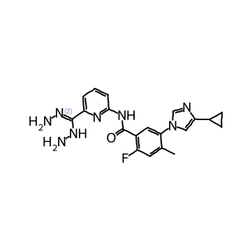 Cc1cc(F)c(C(=O)Nc2cccc(/C(=N/N)NN)n2)cc1-n1cnc(C2CC2)c1